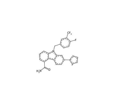 NC(=O)c1cccc2c1c1[c]cc(-c3cccs3)cc1n2Cc1ccc(F)c(C(F)(F)F)c1